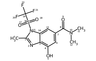 Cc1nc2c(O)cc(C(=O)N(C)C)cc2n1S(=O)(=O)C(F)(F)F